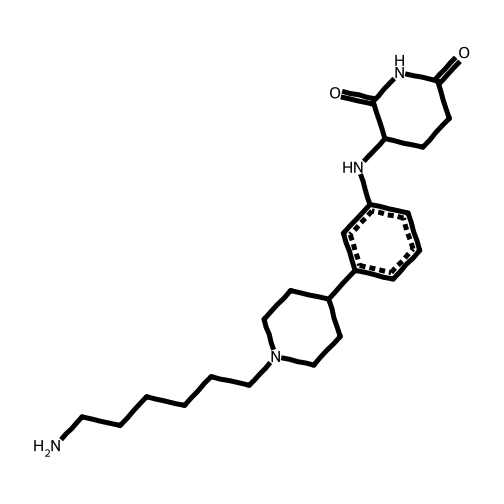 NCCCCCCN1CCC(c2cccc(NC3CCC(=O)NC3=O)c2)CC1